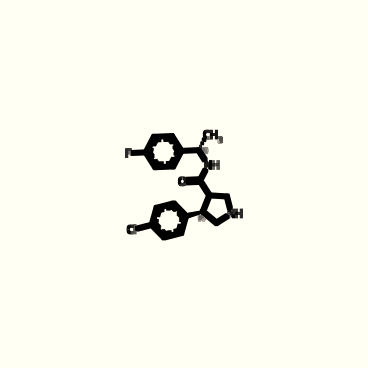 C[C@H](NC(=O)C1CNC[C@H]1c1ccc(Cl)cc1)c1ccc(F)cc1